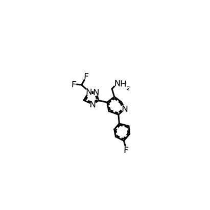 NCc1cnc(-c2ccc(F)cc2)cc1-c1ncn(C(F)F)n1